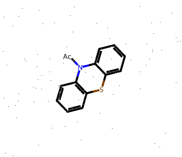 CC(=O)N1c2[c]cccc2Sc2ccccc21